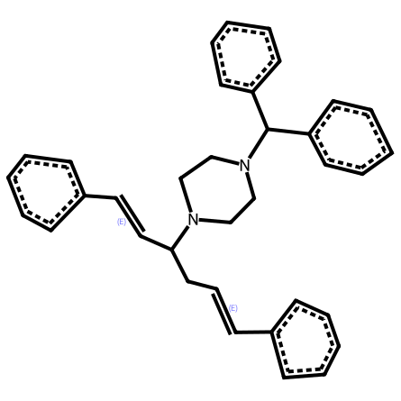 C(=C\c1ccccc1)/CC(/C=C/c1ccccc1)N1CCN(C(c2ccccc2)c2ccccc2)CC1